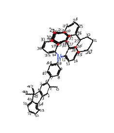 CC1CC2=C(C=C1c1ccc(N(c3ccccc3-c3cccc4cccc(C5CCCCC5)c34)c3cccc4ccccc34)cc1)C(C)(C)c1ccccc12